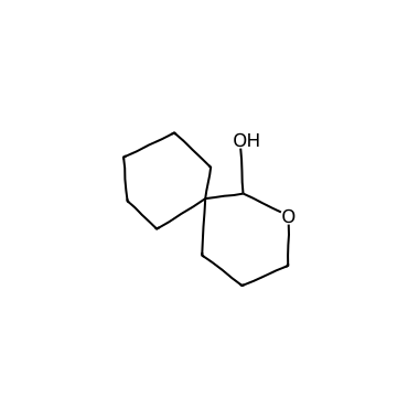 OC1OCCCC12CCCCC2